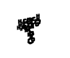 CC1NCCO[C@H]1c1cc(C(C)(C)C#N)c2c(n1)c(-c1ccn(C3CCCCO3)n1)nn2C